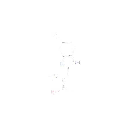 N[C@H](Cc1nc2c([nH]1)CCC(Cl)C2)C(=O)O